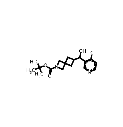 CC(C)(C)OC(=O)N1CC2(CC(C(O)c3cnccc3Cl)C2)C1